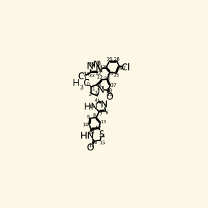 C[C@@H]1C[C@@H](c2ncc(-c3ccc4c(c3)SCC(=O)N4)[nH]2)n2c1cc(-c1cc(Cl)ccc1-n1cc(Cl)nn1)cc2=O